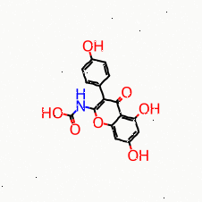 O=C(O)Nc1oc2cc(O)cc(O)c2c(=O)c1-c1ccc(O)cc1